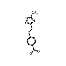 Cc1noc(COc2ccc([N+](=O)[O-])cc2)n1